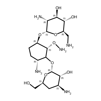 NC[C@H]1O[C@H](O[C@@H]2CC[C@@H](N)C(O[C@H]3O[C@H](CO)C[C@H](N)[C@H]3O)[C@H]2ON)[C@H](N)[C@@H](O)[C@@H]1O